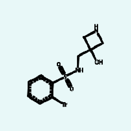 O=S(=O)(NCC1(O)CNC1)c1ccccc1Br